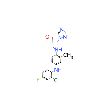 Cc1cc(Nc2ccc(F)cc2Cl)ccc1NCC1(Cn2cncn2)COC1